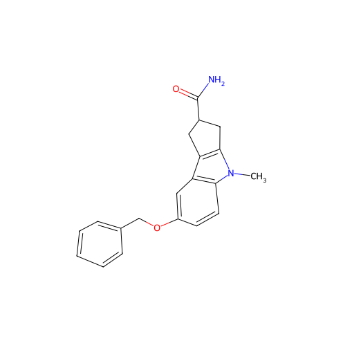 Cn1c2c(c3cc(OCc4ccccc4)ccc31)CC(C(N)=O)C2